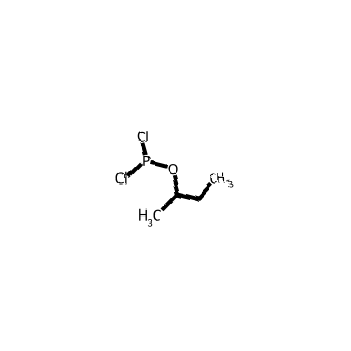 CCC(C)OP(Cl)Cl